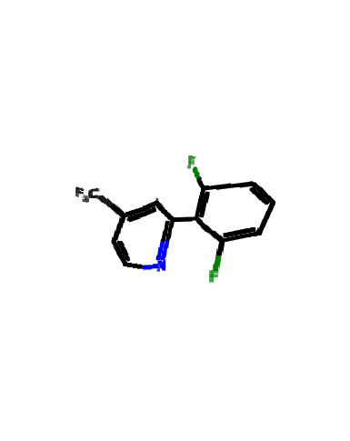 Fc1cccc(F)c1-c1[c]c(C(F)(F)F)ccn1